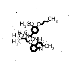 CCCCOc1ccc(C(=O)N(C)C(COc2cccc3nc(C)cc(N)c23)C(C)C)cc1OC